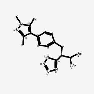 CCC[C@H](C(C)=O)[C@H](Cc1ccc(-c2c(C)nn(C)c2C)cc1)c1nnn[nH]1